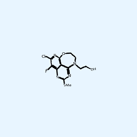 CSc1nc2c3c(nc(Cl)c(F)c3n1)OCCN2CCO